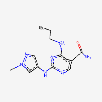 Cn1cc(Nc2ncc(C(N)=O)c(NCCC(C)(C)C)n2)cn1